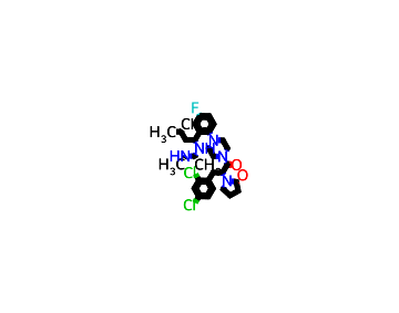 CNC(C)NC(CC(C)C)c1cc(F)ccc1N1CCN(C(=O)C(Cc2ccc(Cl)cc2Cl)N2CCCC2=O)CC1